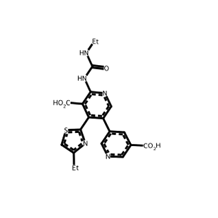 CCNC(=O)Nc1ncc(-c2cncc(C(=O)O)c2)c(-c2nc(CC)cs2)c1C(=O)O